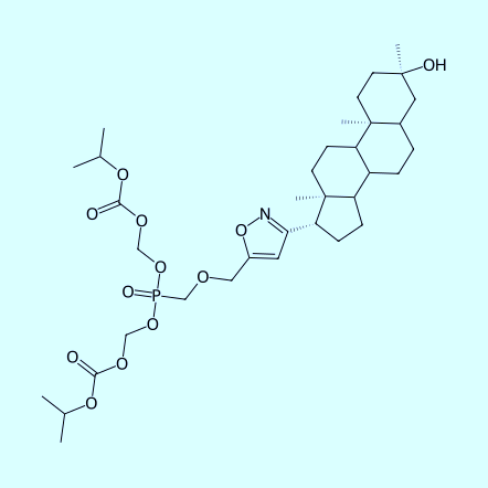 CC(C)OC(=O)OCOP(=O)(COCc1cc([C@H]2CCC3C4CCC5C[C@](C)(O)CC[C@]5(C)C4CC[C@@]32C)no1)OCOC(=O)OC(C)C